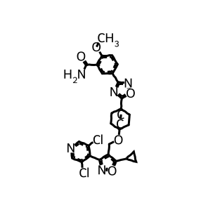 COc1ccc(-c2noc(C34CCC(OCc5c(-c6c(Cl)cncc6Cl)noc5C5CC5)(CC3)CC4)n2)cc1C(N)=O